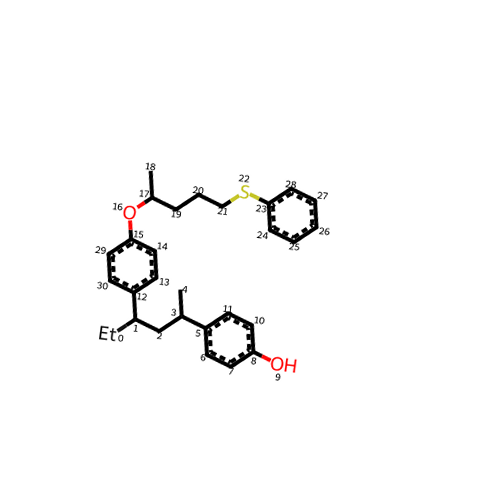 CCC(CC(C)c1ccc(O)cc1)c1ccc(OC(C)CCCSc2ccccc2)cc1